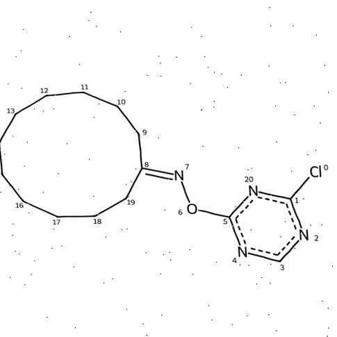 Clc1ncnc(ON=C2CCCCCCCCCCC2)n1